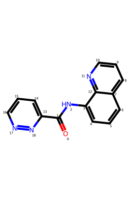 O=C(Nc1cccc2cccnc12)c1cccnn1